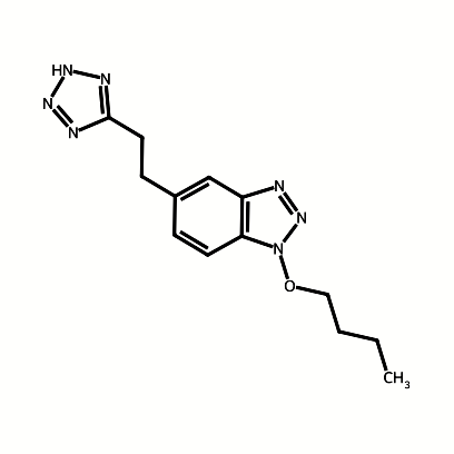 CCCCOn1nnc2cc(CCc3nn[nH]n3)ccc21